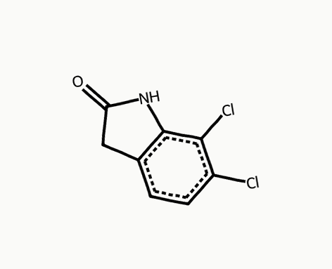 O=C1Cc2ccc(Cl)c(Cl)c2N1